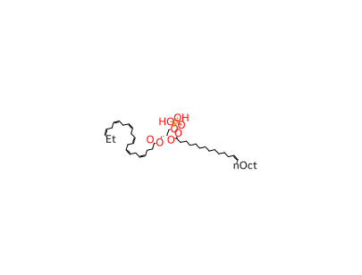 CC/C=C\C/C=C\C/C=C\C/C=C\C/C=C\C/C=C\CCC(=O)OC[C@H](COP(=O)(O)O)OC(=O)CCCCCCCCCCC/C=C\CCCCCCCC